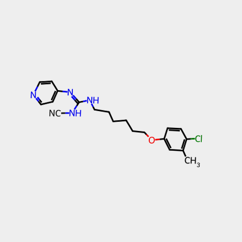 Cc1cc(OCCCCCCNC(=Nc2ccncc2)NC#N)ccc1Cl